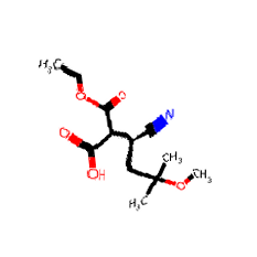 CCOC(=O)C(C(=O)O)[C@@H](C#N)CC(C)(C)OC